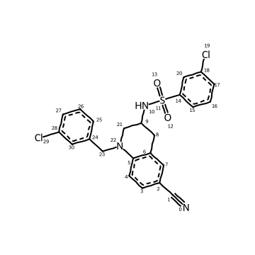 N#Cc1ccc2c(c1)CC(NS(=O)(=O)c1cccc(Cl)c1)CN2Cc1cccc(Cl)c1